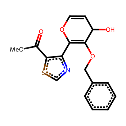 COC(=O)c1scnc1C1=C(OCc2ccccc2)C(O)C=CO1